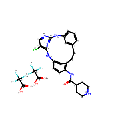 O=C(Nc1ccc2cc1CCc1cccc(c1)Nc1ncc(Cl)c(n1)N2)C1CCNCC1.O=C(O)C(F)(F)F.O=C(O)C(F)(F)F